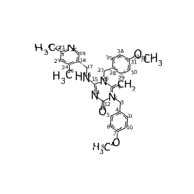 C=C1N(Cc2ccc(OC)cc2)C(=O)N=C(NCc2cnc(C)cc2C)N1Cc1ccc(OC)cc1